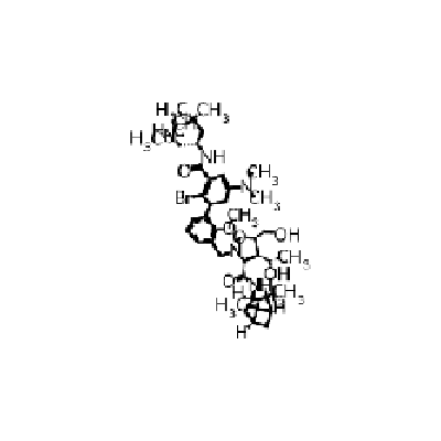 COc1c(CN2O[C@@H](CO)[C@@H]([C@H](C)O)[C@H]2C(=O)N[C@H]2C[C@H]3C[C@@H]([C@@H]2C)C3(C)C)cccc1C1CC(N(C)C)=CC(C(=O)N[C@H](CN(C)C)CC(C)(C)C)=C1Br